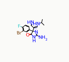 CC(C)N/C=C(\C=N)C1(c2ccc(F)c(Br)c2)N=C(N)NC1=O